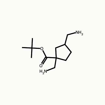 CC(C)(C)OC(=O)C1(CN)CCC(CN)C1